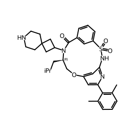 Cc1cccc(C)c1-c1cc2cc(n1)NS(=O)(=O)c1cccc(c1)C(=O)N(C1CC3(CCNCC3)C1)[C@H](CC(C)C)CO2